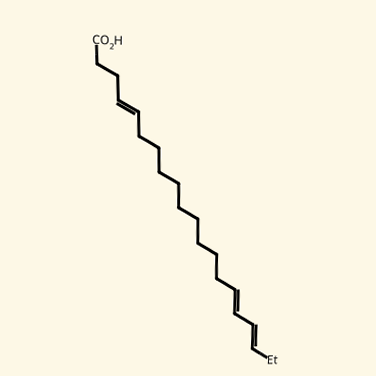 CCC=CC=CCCCCCCCCCC=CCCC(=O)O